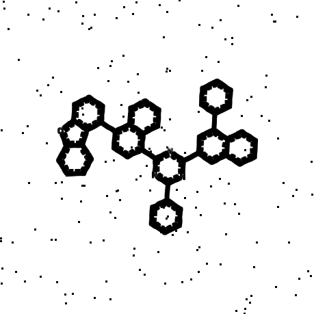 c1ccc(-c2nc(-c3cc(-c4ccccc4)c4ccccc4c3)nc(-c3ccc(-c4cccc5oc6ccccc6c45)c4ccccc34)n2)cc1